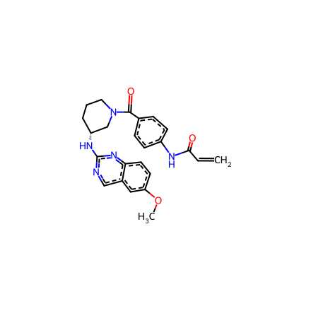 C=CC(=O)Nc1ccc(C(=O)N2CCC[C@@H](Nc3ncc4cc(OC)ccc4n3)C2)cc1